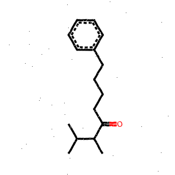 C[C](C)C(C)C(=O)CCCCc1ccccc1